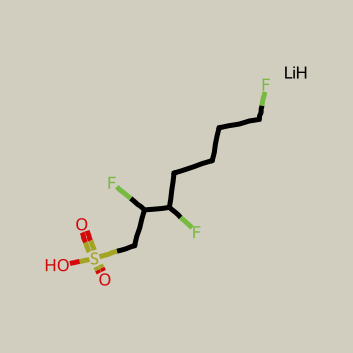 O=S(=O)(O)CC(F)C(F)CCCCF.[LiH]